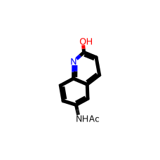 CC(=O)Nc1ccc2nc(O)ccc2c1